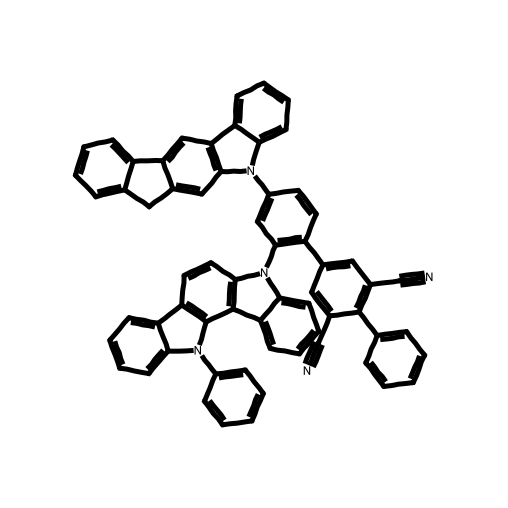 N#Cc1cc(-c2ccc(-n3c4ccccc4c4cc5c(cc43)Cc3ccccc3-5)cc2-n2c3ccccc3c3c2ccc2c4ccccc4n(-c4ccccc4)c23)cc(C#N)c1-c1ccccc1